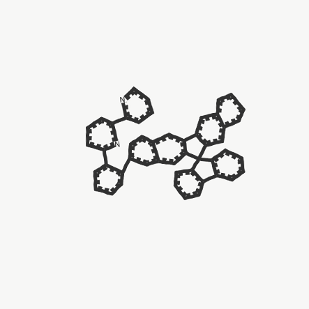 c1ccc(-c2cccc(-c3ccccc3-c3ccc4cc5c(cc4c3)C3(c4ccccc4-c4ccccc43)c3cc4ccccc4cc3-5)n2)nc1